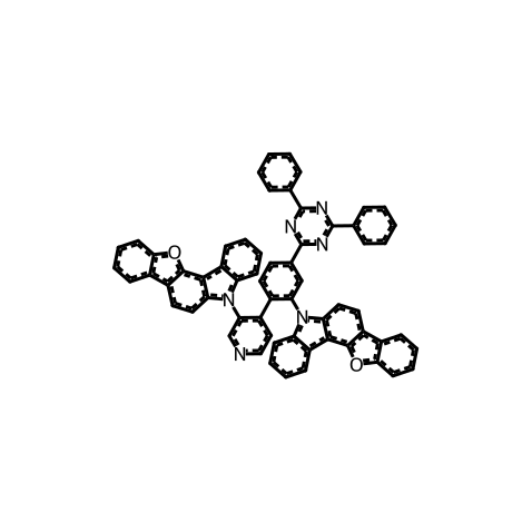 c1ccc(-c2nc(-c3ccccc3)nc(-c3ccc(-c4ccncc4-n4c5ccccc5c5c6oc7ccccc7c6ccc54)c(-n4c5ccccc5c5c6oc7ccccc7c6ccc54)c3)n2)cc1